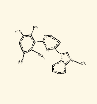 Cn1cc(-c2ccnc(-c3c(N)c(C(F)(F)F)cc(N)c3[N+](=O)[O-])n2)c2ccccc21